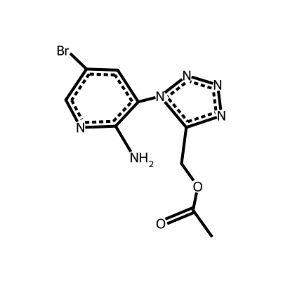 CC(=O)OCc1nnnn1-c1cc(Br)cnc1N